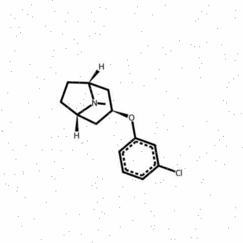 CN1[C@@H]2CC[C@H]1C[C@H](Oc1cccc(Cl)c1)C2